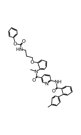 Cc1ccc(-c2ccccc2C(=O)Nc2ccc(C(=O)N(C)c3ccccc3OCCCNC(=O)Oc3ccccc3)cn2)cc1